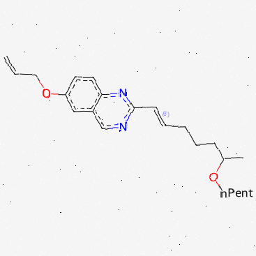 C=CCOc1ccc2nc(/C=C/CCCC(C)OCCCCC)ncc2c1